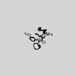 C=C/C=c1/c(C(=O)C(Nc2cccc(O)c2)C2CCCCCCCC2)c[nH]/c1=C/C=C